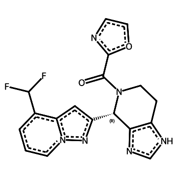 O=C(c1ncco1)N1CCc2[nH]cnc2[C@@H]1c1cc2c(C(F)F)cccn2n1